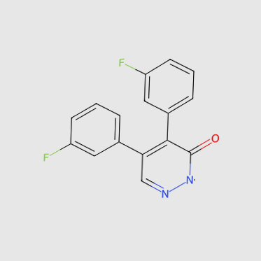 O=C1[N]N=CC(c2cccc(F)c2)=C1c1cccc(F)c1